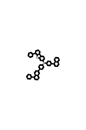 c1ccc(-c2cccc3cc(-c4ccc(N(c5ccc(-c6cccc7ccccc67)cc5)c5ccc6c(c5)oc5c(-c7ccccc7)cccc56)cc4)ccc23)cc1